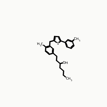 CCCCC(O)CCc1ccc(C)c(Cc2ccc(-c3cccc(C)c3)s2)c1